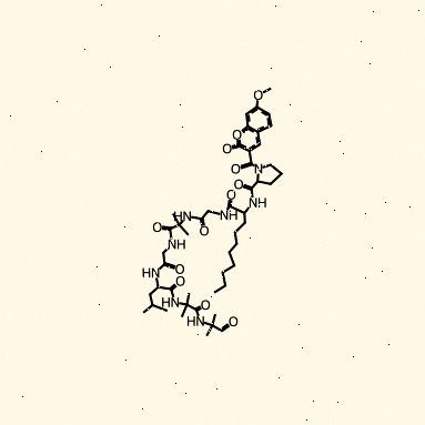 CCCCCCCCC(NC(=O)C1CCCN1C(=O)c1cc2ccc(OC)cc2oc1=O)C(=O)NCC(=O)NC(C)(C)C(=O)NCC(=O)NC(CC(C)C)C(=O)NC(C)(C)C(=O)NC(C)(C)C=O